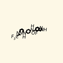 O=C(NC1CCC(Nc2cccc3nc(C(F)(F)F)cn23)CC1)c1ccc2n[nH]cc2c1F